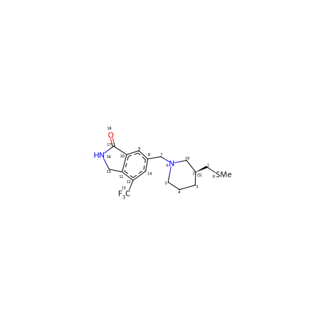 CSC[C@H]1CCCN(Cc2cc3c(c(C(F)(F)F)c2)CNC3=O)C1